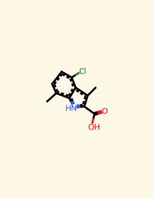 Cc1ccc(Cl)c2c(C)c(C(=O)O)[nH]c12